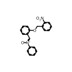 O=[N+]([O-])c1ccccc1COc1ccccc1C=[N+]([O-])c1ccccc1